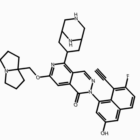 C#Cc1c(F)ccc2cc(O)cc(-n3ncc4c(C5CC6CNCC(C5)N6)nc(OCC56CCCN5CCC6)cc4c3=O)c12